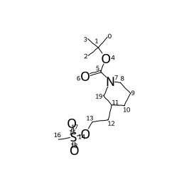 CC(C)(C)OC(=O)N1CCCC(CCOS(C)(=O)=O)C1